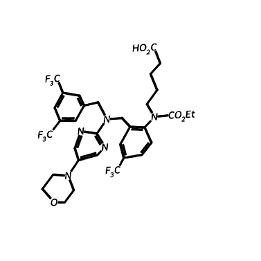 CCOC(=O)N(CCCCC(=O)O)c1ccc(C(F)(F)F)cc1CN(Cc1cc(C(F)(F)F)cc(C(F)(F)F)c1)c1ncc(N2CCOCC2)cn1